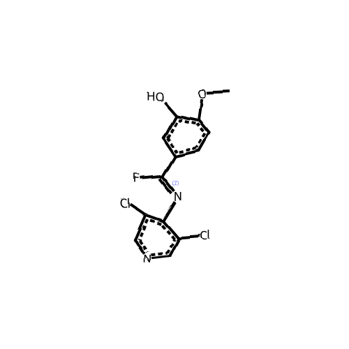 COc1ccc(/C(F)=N/c2c(Cl)cncc2Cl)cc1O